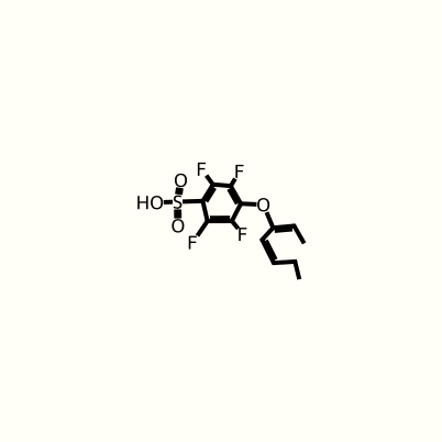 C/C=C(\C=C/CC)Oc1c(F)c(F)c(S(=O)(=O)O)c(F)c1F